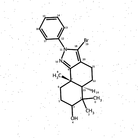 CC1(C)C(O)CC[C@]2(C)c3nn(-c4ccccc4)c(Br)c3CC[C@@H]12